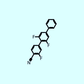 N#Cc1ccc(-c2c(F)cc(-c3ccccc3)cc2F)cc1F